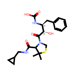 CC1(C)SCN(C(=O)[C@@H](O)[C@H](Cc2ccccc2)NC(=O)O)C1C(=O)NCC1CC1